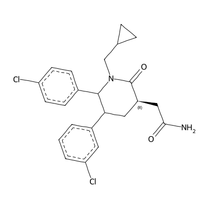 NC(=O)C[C@H]1CC(c2cccc(Cl)c2)C(c2ccc(Cl)cc2)N(CC2CC2)C1=O